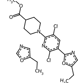 CCc1cnc(-c2cc(Cl)c(N3CCC(C(=O)OC)CC3)nc2Cl)o1.CCc1cnco1